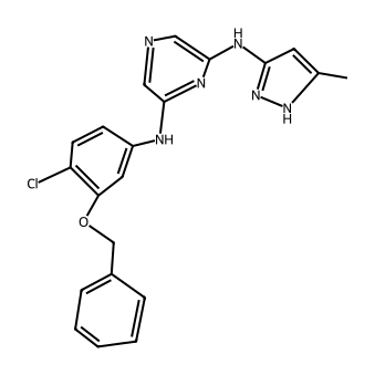 Cc1cc(Nc2cncc(Nc3ccc(Cl)c(OCc4ccccc4)c3)n2)n[nH]1